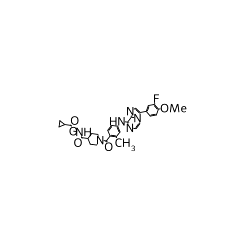 COc1ccc(-c2cnc3c(Nc4ccc(C(=O)N5CCC(C(=O)NOC(=O)C6CC6)CC5)c(C)c4)nccn23)cc1F